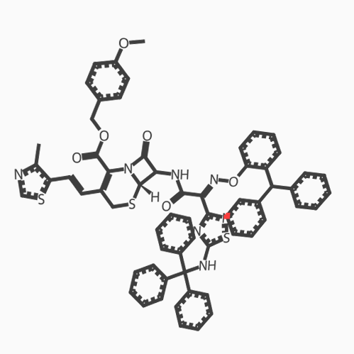 COc1ccc(COC(=O)C2=C(C=Cc3scnc3C)CS[C@H]3C(NC(=O)C(=NOc4ccccc4C(c4ccccc4)c4ccccc4)c4nsc(NC(c5ccccc5)(c5ccccc5)c5ccccc5)n4)C(=O)N23)cc1